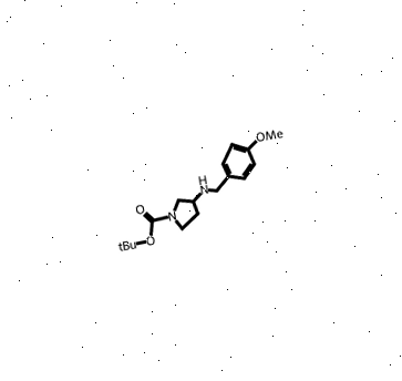 COc1ccc(CNC2CCN(C(=O)OC(C)(C)C)C2)cc1